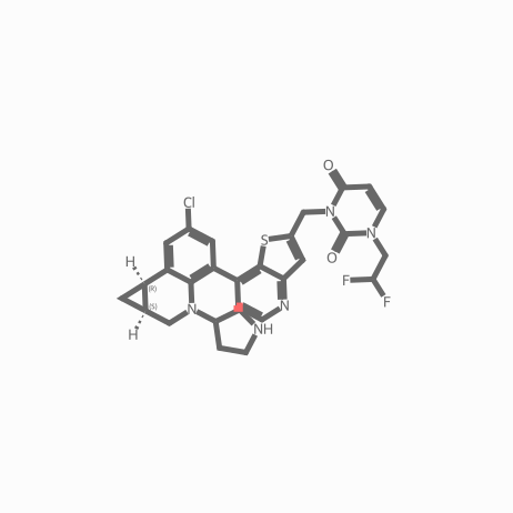 O=c1ccn(CC(F)F)c(=O)n1Cc1cc2nccc(-c3cc(Cl)cc4c3N(C3CCNC3)C[C@H]3C[C@@H]43)c2s1